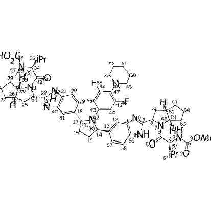 COC(=O)N[C@H](C(=O)N1C(c2nc3cc([C@H]4CC[C@H](c5ccc6[nH]c([C@@H]7C[C@@H]8CCC[C@@H]8N7C(=O)[C@H](C(C)C)N(C)C(=O)O)nc6c5)N4c4cc(F)c(N5CCCCC5)c(F)c4)ccc3[nH]2)C[C@@H]2CCC[C@@H]21)C(C)C